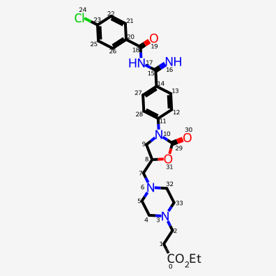 CCOC(=O)CCN1CCN(CC2CN(c3ccc(C(=N)NC(=O)c4ccc(Cl)cc4)cc3)C(=O)O2)CC1